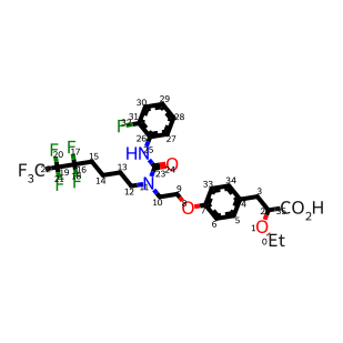 CCOC(Cc1ccc(OCCN(CCCCC(F)(F)C(F)(F)C(F)(F)F)C(=O)Nc2ccccc2F)cc1)C(=O)O